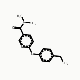 CCc1ccc(Oc2ccc(C(=O)N(C)C)cn2)cc1